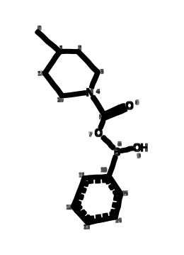 CC1CCN(C(=O)OB(O)c2ccccc2)CC1